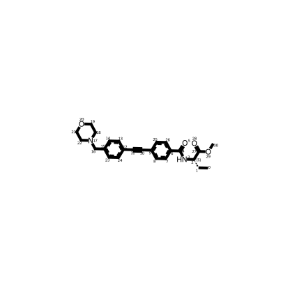 CC[C@H](NC(=O)c1ccc(C#Cc2ccc(CN3CCOCC3)cc2)cc1)C(=O)OC